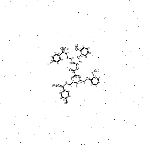 CCOc1ccccc1OCC(NCCCC(OC)c1ccc(F)cc1)OC(=O)C(=O)OC(COc1ccccc1OCC)NCCCC(OC)c1ccc(F)cc1